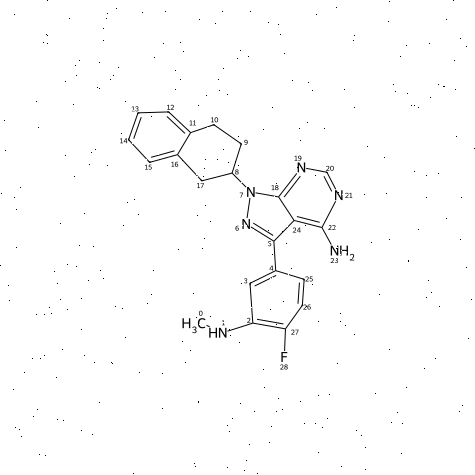 CNc1cc(-c2nn(C3CCc4ccccc4C3)c3ncnc(N)c23)ccc1F